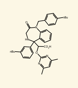 CCCCc1ccc(CN2C(=O)CNC(c3cccc(CCCC)c3)(C(Oc3nc(C)cc(C)n3)C(=O)O)c3ccccc32)cc1